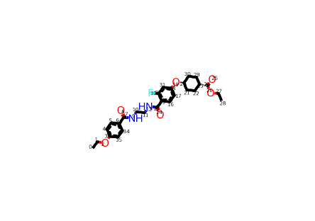 CCOc1ccc(C(=O)NCCNC(=O)c2ccc(O[C@H]3CC[C@@H](C(=O)OCC)CC3)cc2F)cc1